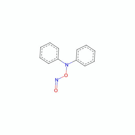 O=NON(c1ccccc1)c1ccccc1